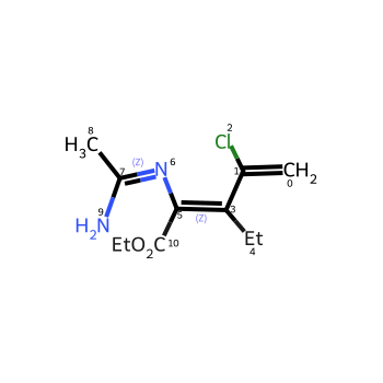 C=C(Cl)/C(CC)=C(\N=C(\C)N)C(=O)OCC